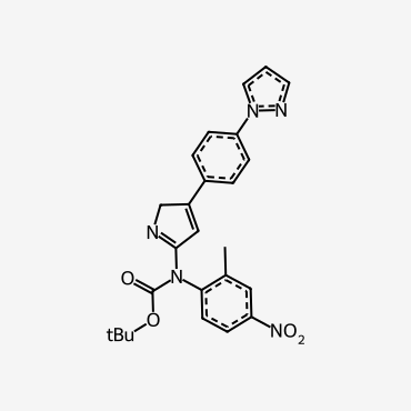 Cc1cc([N+](=O)[O-])ccc1N(C(=O)OC(C)(C)C)C1=NCC(c2ccc(-n3cccn3)cc2)=C1